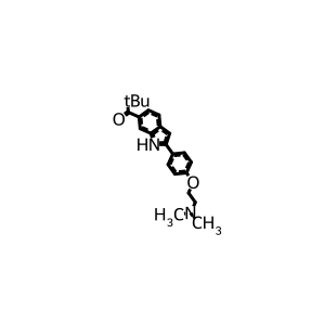 CN(C)CCOc1ccc(-c2cc3ccc(C(=O)C(C)(C)C)cc3[nH]2)cc1